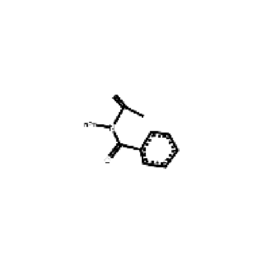 [CH2]CCN(C(=C)C)C(=O)c1ccccc1